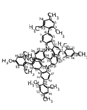 Cc1cc(C)c(-c2ccc3c(c2)c2cc(-c4c(C)cc(C)cc4C)ccc2n3-c2ccc(C#N)cc2-c2ncccc2-n2c3ccc(-c4c(C)cc(C)cc4C)cc3c3cc(-c4c(C)cc(C)cc4C)ccc32)c(C)c1